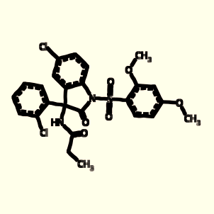 CCC(=O)NC1(c2ccccc2Cl)C(=O)N(S(=O)(=O)c2ccc(OC)cc2OC)c2ccc(Cl)cc21